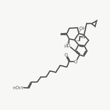 C=C1CC[C@@]2(O)C3Cc4ccc(OC(=O)CCCCCCC/C=C/CCCCCCCC)c5c4[C@@]2(CCN3CC2CC2)[C@H]1O5